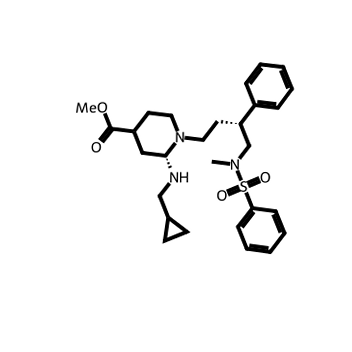 COC(=O)C1CCN(CC[C@@H](CN(C)S(=O)(=O)c2ccccc2)c2ccccc2)[C@H](NCC2CC2)C1